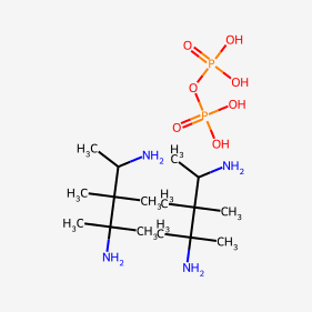 CC(N)C(C)(C)C(C)(C)N.CC(N)C(C)(C)C(C)(C)N.O=P(O)(O)OP(=O)(O)O